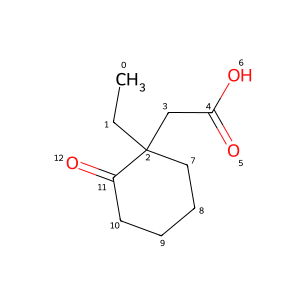 CCC1(CC(=O)O)CCCCC1=O